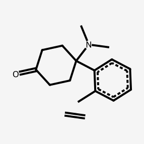 C=C.Cc1ccccc1C1(N(C)C)CCC(=O)CC1